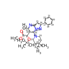 COC(=O)C(OC(C)(C)C)c1c(C)nc2cc(-c3ccccc3)nn2c1N1CCC(C)(C)CC1